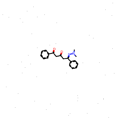 CN(C)N=C(CC(=O)CC(=O)c1ccccc1)c1ccccc1